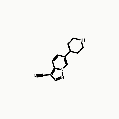 N#Cc1cnn2cc(C3CCNCC3)ccc12